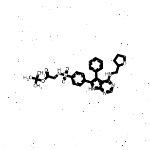 CC(C)(C)OC(=O)CNS(=O)(=O)c1ccc(-c2[nH]c3ncnc(NCC4CCCO4)c3c2-c2ccccc2)cc1